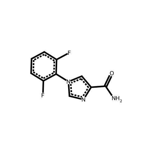 NC(=O)c1cn(-c2c(F)cccc2F)cn1